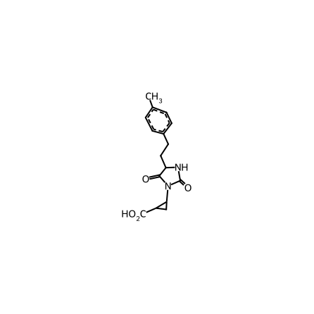 Cc1ccc(CCC2NC(=O)N(C3CC3C(=O)O)C2=O)cc1